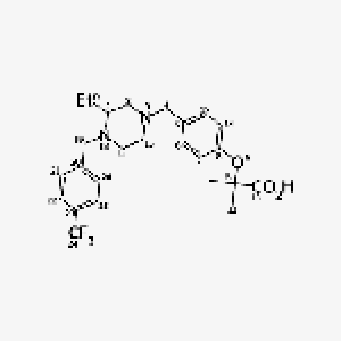 CCC1CN(Cc2ccc(OC(C)(C)C(=O)O)cc2)CCN1Cc1ccc(C(F)(F)F)cc1